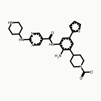 Nc1c(NC(=O)c2cnc(NC3CCNCC3)nc2)cc(-c2cccs2)cc1C1CCN(C(=O)Cl)CC1